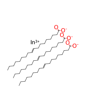 CCCCCCCCC=CCCCCCCCC(=O)[O-].CCCCCCCCC=CCCCCCCCC(=O)[O-].CCCCCCCCC=CCCCCCCCC(=O)[O-].[In+3]